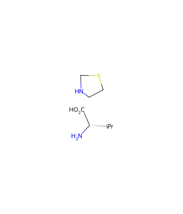 C1CSCN1.CC(C)[C@H](N)C(=O)O